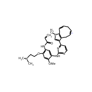 C=CC(=O)Nc1cc(Nc2nccc(-c3cn(C)c4c3C/C=C\CC=C4)n2)c(OC)cc1OCCN(C)C